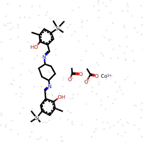 CC(=O)[O-].CC(=O)[O-].Cc1cc([Si](C)(C)C)cc(C=NC2CCC(N=Cc3cc([Si](C)(C)C)cc(C)c3O)CC2)c1O.[Co+2]